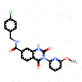 COc1cccc(-n2c(=O)[nH]c3cc(C(=O)NCc4ccc(Cl)cc4)ccc3c2=O)n1